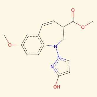 COC(=O)C1C=Cc2cc(OC)ccc2N(n2ccc(O)n2)C1